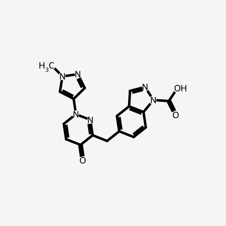 Cn1cc(-n2ccc(=O)c(Cc3ccc4c(cnn4C(=O)O)c3)n2)cn1